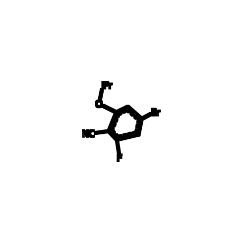 CC(C)Oc1cc(Br)cc(F)c1C#N